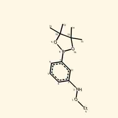 CCONc1cccc(B2OC(C)(C)C(C)(C)O2)c1